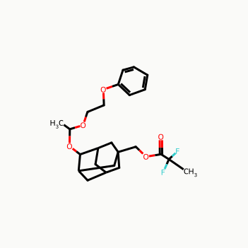 CC(OCCOc1ccccc1)OC1C2CC3CC1CC(COC(=O)C(C)(F)F)(C3)C2